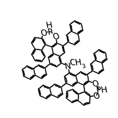 CN(c1cc(-c2ccc3ccccc3c2)cc2c1cc(-c1ccc3ccccc3c1)c1o[pH]oc3ccc4ccccc4c3c12)c1cc(-c2ccc3ccccc3c2)cc2c1cc(-c1ccc3ccccc3c1)c1o[pH]oc3ccc4ccccc4c3c12